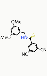 COc1cc(CNC(=S)c2cc(C#N)cc(C#N)c2)cc(OC)c1